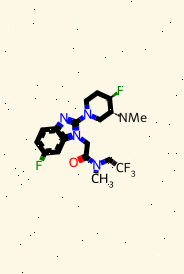 CN[C@@H]1CN(c2nc3ccc(F)cc3n2CC(=O)N(C)CC(F)(F)F)CC[C@H]1F